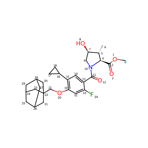 COC(=O)[C@@H]1[C@@H](C)[C@H](O)CN1C(=O)c1cc(C2CC2)c(OCC23CC4CC(CC(C4)C2)C3)cc1F